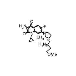 COCC[C@@H](N)C[C@H]1CCN(c2c(F)cc3c(=O)n(N)c(=O)n(C4CC4)c3c2C)C1